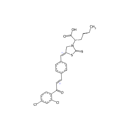 CCCCC(C(=O)O)N1C/C(=C/c2ccc(/C=C/C(=O)c3ccc(Cl)cc3Cl)cc2)SC1=S